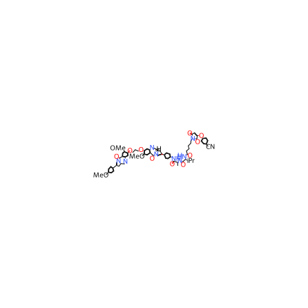 COc1ccc(C2=CN3C(=O)c4cc(OC)c(OCCCOc5cc6c(cc5OC)C(=O)N5C=C(c7ccc(NC(=O)C(C)NC(=O)C(NC(=O)CCCCCN8C(=O)C=C(Oc9ccc(C#N)cc9)C8=O)C(C)C)cc7)C[C@H]5C=N6)cc4N=CC3C2)cc1